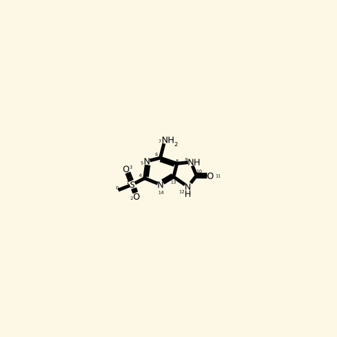 CS(=O)(=O)c1nc(N)c2[nH]c(=O)[nH]c2n1